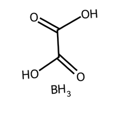 B.O=C(O)C(=O)O